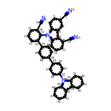 N#Cc1ccc2c(c1)c1c(C#N)cccc1n2-c1c(C#N)cccc1-c1ccc(-c2ccc(-n3c4ccccc4c4ccccc43)cc2)cc1